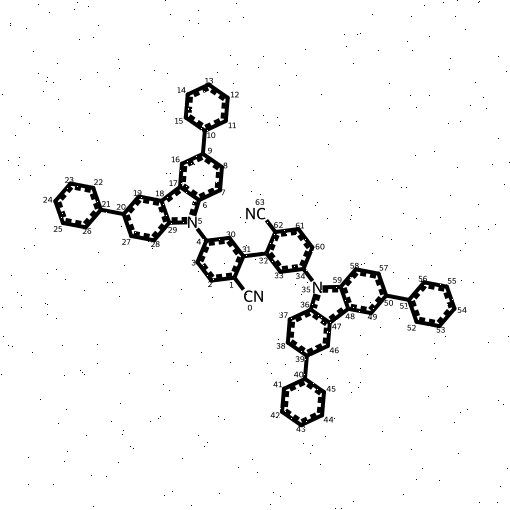 N#Cc1ccc(-n2c3ccc(-c4ccccc4)cc3c3cc(-c4ccccc4)ccc32)cc1-c1cc(-n2c3ccc(-c4ccccc4)cc3c3cc(-c4ccccc4)ccc32)ccc1C#N